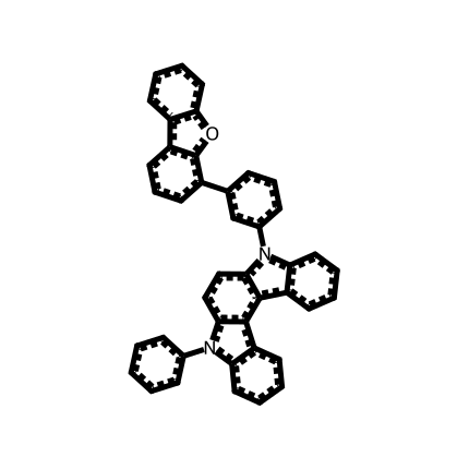 c1ccc(-n2c3ccccc3c3c4c5ccccc5n(-c5cccc(-c6cccc7c6oc6ccccc67)c5)c4ccc32)cc1